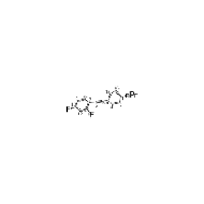 CCCc1ccc(C#Cc2ccc(F)cc2F)cc1